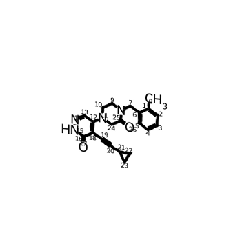 Cc1ccccc1CN1CCN(c2cn[nH]c(=O)c2C#CC2CC2)CC1=O